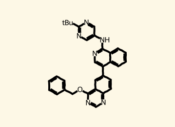 CC(C)(C)c1ncc(Nc2ncc(-c3ccc4ncnc(OCc5ccccc5)c4c3)c3ccccc23)cn1